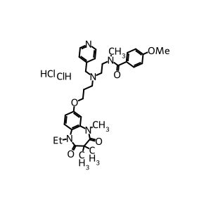 CCN1C(=O)C(C)(C)C(=O)N(C)c2cc(OCCCN(CCN(C)C(=O)c3ccc(OC)cc3)Cc3ccncc3)ccc21.Cl.Cl